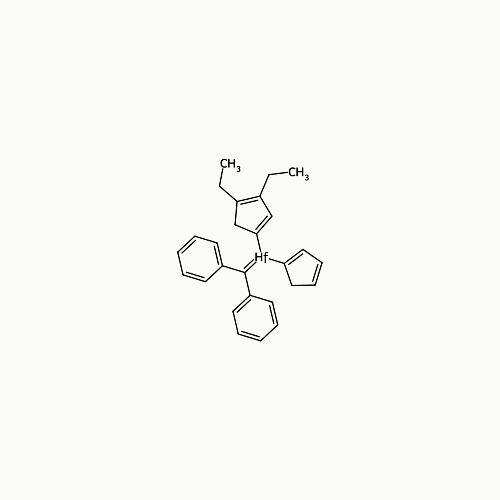 CCC1=C(CC)C[C]([Hf]([C]2=CC=CC2)=[C](c2ccccc2)c2ccccc2)=C1